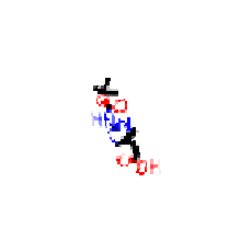 CC(C)(C)OC(=O)Nc1ncc(CC(=O)O)cn1